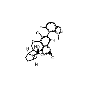 Cn1ncc2ccc(F)c(-c3c(Cl)c4c5c(nc(Cl)nc5c3F)N3C[C@H]5CC[C@@H]([C@H]3CO4)N5C(=O)OC(C)(C)C)c21